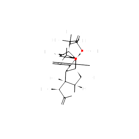 C[C@@H]1C(=O)O[C@H]2[C@@H](O)[C@]34[C@@H]5OC(=O)[C@]3(O[C@@H]3OC(=O)[C@H](O)[C@@]34[C@H](C(C)(C)C)[C@H]5O)[C@@]12O